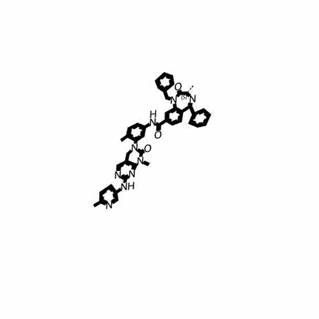 Cc1ccc(Nc2ncc3c(n2)N(C)C(=O)N(c2cc(NC(=O)c4ccc5c(c4)N(Cc4ccccc4)C(=O)[C@H](C)N=C5c4ccccc4)ccc2C)C3)cn1